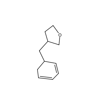 C1=CCC(CC2CCOC2)C=C1